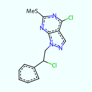 CSc1nc(Cl)c2cnn(CC(Cl)c3ccccc3)c2n1